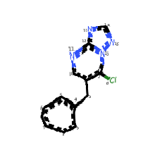 Clc1c(Cc2ccccc2)cnc2ncnn12